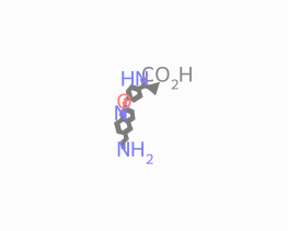 NCCc1ccc2nc(Oc3ccc(C(NC(=O)O)C4CC4)cc3)ccc2c1